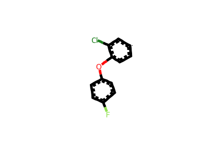 Fc1ccc(Oc2cc[c]cc2Cl)cc1